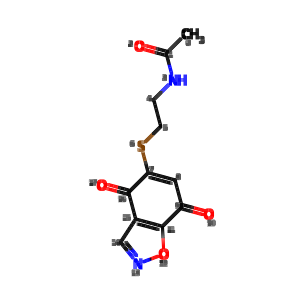 CC(=O)NCCSC1=CC(=O)c2oncc2C1=O